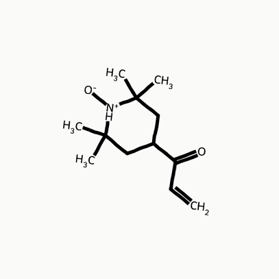 C=CC(=O)C1CC(C)(C)[NH+]([O-])C(C)(C)C1